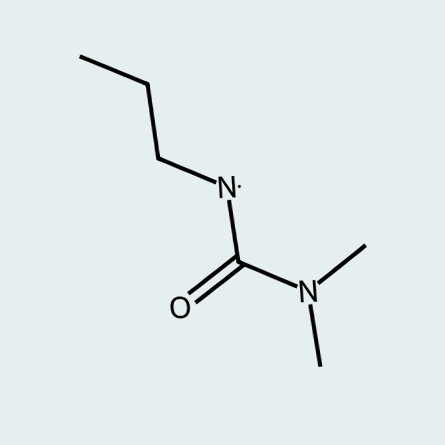 CCC[N]C(=O)N(C)C